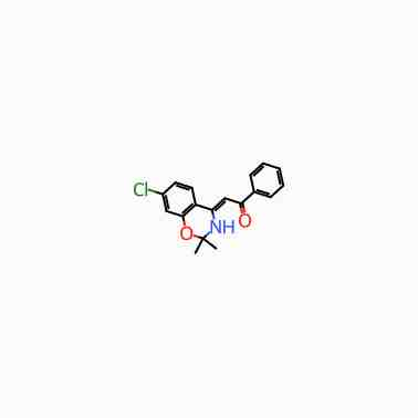 CC1(C)N/C(=C\C(=O)c2ccccc2)c2ccc(Cl)cc2O1